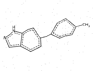 Cc1ccc(-c2ccc3cn[nH]c3c2)cc1